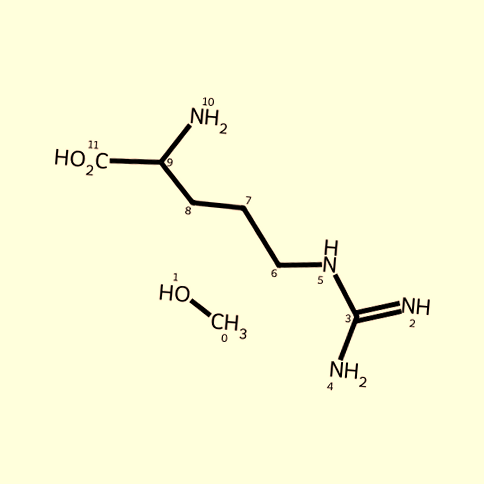 CO.N=C(N)NCCCC(N)C(=O)O